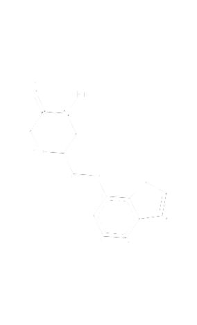 CCN1CC(COc2cccc3c2CC=C3)OCC1=O